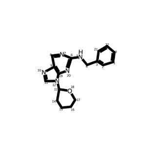 c1ccc(CNc2ncc3ncn(C4CCCCO4)c3n2)cc1